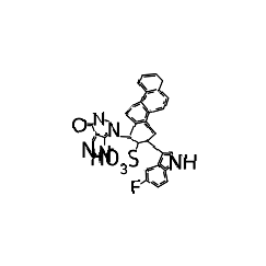 CC1c2ccc3c4c(ccc3c2=CC(c2c[nH]c3ccc(F)cc23)C1S(=O)(=O)O)CC=CC=4.O=C1N=CN=C2N=CN=C12